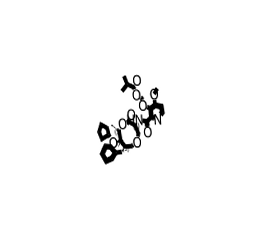 COc1ccnc(C(=O)N[C@H]2COC[C@H](Cc3ccccc3)[C@@H](OC3CCCC3)[C@H](C)OC2=O)c1OCOC(=O)C(C)C